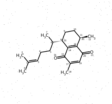 CC(C)=CCCC(C)[C@@H]1CC[C@@H](C)C2=C1C(=O)C(C)=CC2=O